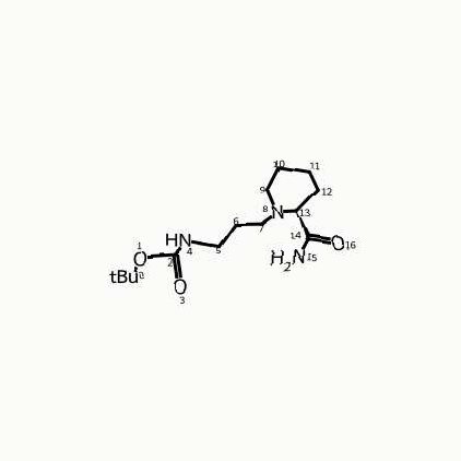 CC(C)(C)OC(=O)NCCCN1CCCC[C@H]1C(N)=O